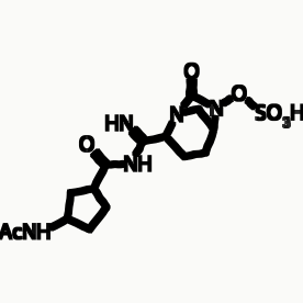 CC(=O)NC1CCC(C(=O)NC(=N)C2CCC3CN2C(=O)N3OS(=O)(=O)O)C1